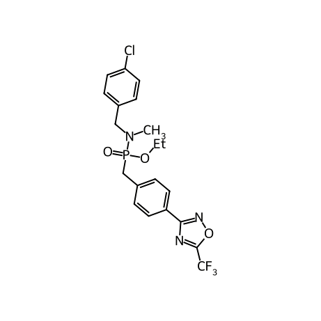 CCOP(=O)(Cc1ccc(-c2noc(C(F)(F)F)n2)cc1)N(C)Cc1ccc(Cl)cc1